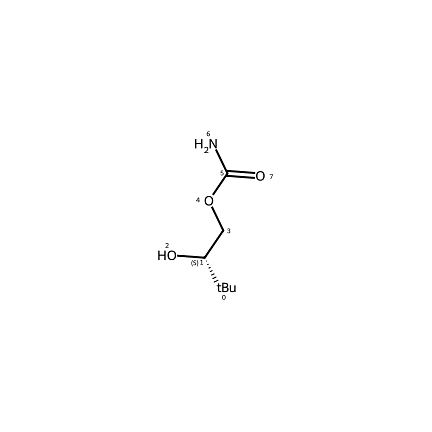 CC(C)(C)[C@H](O)COC(N)=O